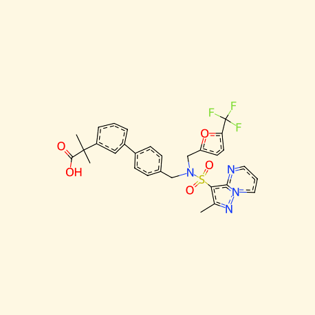 Cc1nn2cccnc2c1S(=O)(=O)N(Cc1ccc(-c2cccc(C(C)(C)C(=O)O)c2)cc1)Cc1ccc(C(F)(F)F)o1